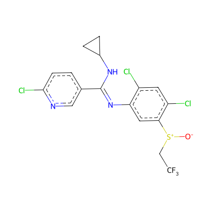 [O-][S+](CC(F)(F)F)c1cc(/N=C(\NC2CC2)c2ccc(Cl)nc2)c(Cl)cc1Cl